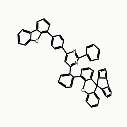 c1ccc(-c2nc(-c3ccc(-c4cccc5c4oc4ccccc45)cc3)cc(-c3ccccc3-c3cccc4c3Oc3ccccc3C43c4ccccc4-c4ccccc43)n2)cc1